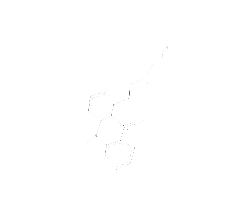 O=C1c2ccccc2C(=O)c2c(CCOCCO)cccc21